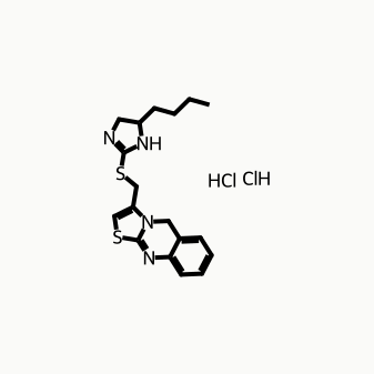 CCCCC1CN=C(SCC2=CSC3=Nc4ccccc4CN23)N1.Cl.Cl